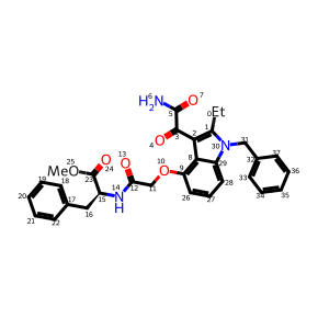 CCc1c(C(=O)C(N)=O)c2c(OCC(=O)N[C@@H](Cc3ccccc3)C(=O)OC)cccc2n1Cc1ccccc1